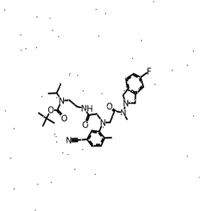 Cc1ccc(C#N)cc1N(CC(=O)NCCN(C(=O)OC(C)(C)C)C(C)C)CC(=O)N(C)N1Cc2ccc(F)cc2C1